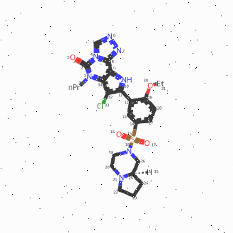 CCCn1c(=O)n2cnnc2c2[nH]c(-c3cc(S(=O)(=O)N4CCN5CCC[C@@H]5C4)ccc3OCC)c(Cl)c21